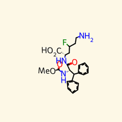 COC(=O)N[C@H](C(=O)N[C@@H](CC(F)CCN)C(=O)O)C(c1ccccc1)c1ccccc1